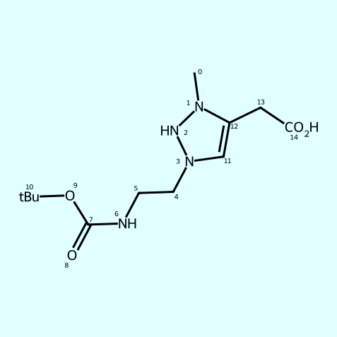 CN1NN(CCNC(=O)OC(C)(C)C)C=C1CC(=O)O